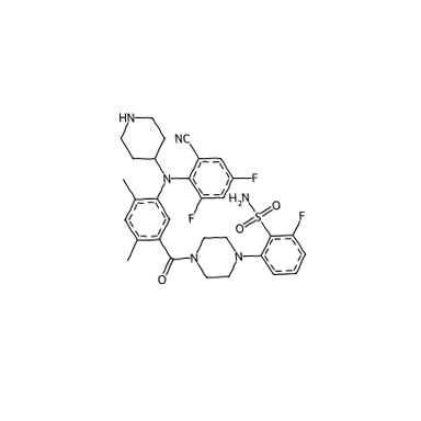 Cc1cc(C)c(N(c2c(F)cc(F)cc2C#N)C2CCNCC2)cc1C(=O)N1CCN(c2cccc(F)c2S(N)(=O)=O)CC1